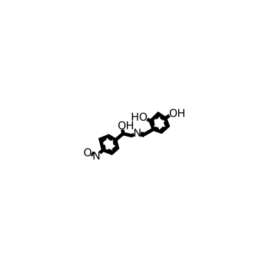 O=Nc1ccc(C(O)C/N=C/c2ccc(O)cc2O)cc1